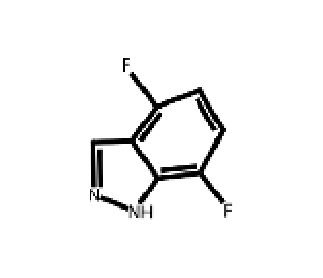 Fc1ccc(F)c2[nH]ncc12